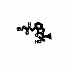 CC(C)(C)OC(=O)NCc1cccc2c1C(=O)N([C@H](C1CC1)C(C)(C)O)C2